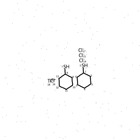 SC1CCCCC1.SC1CCCCC1.[Cl-].[Cl-].[Cl-].[Cl-].[Ti+4]